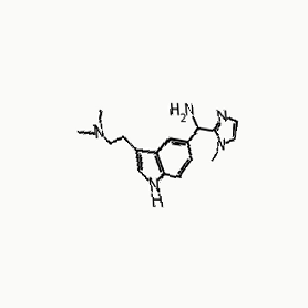 CN(C)CCc1c[nH]c2ccc(C(N)c3nccn3C)cc12